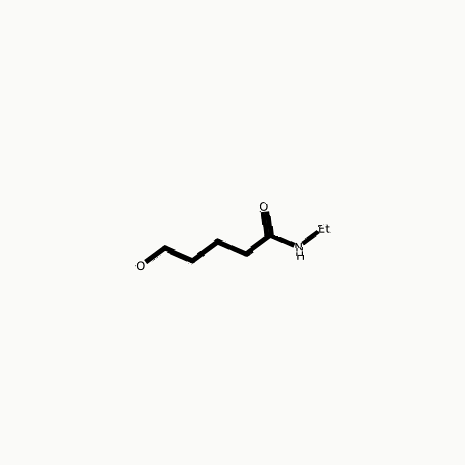 CCNC(=O)CCCC[O]